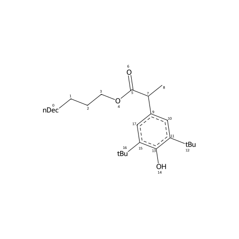 CCCCCCCCCCCCCOC(=O)C(C)c1cc(C(C)(C)C)c(O)c(C(C)(C)C)c1